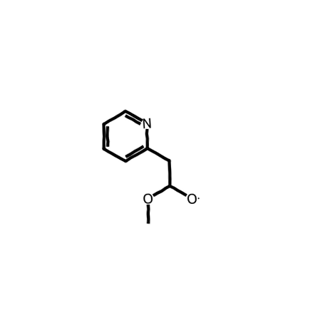 COC([O])Cc1ccccn1